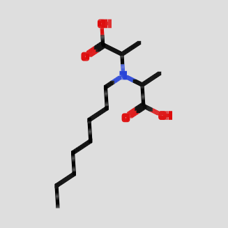 CCCCCCCCN(C(C)C(=O)O)C(C)C(=O)O